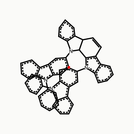 C1=CC2c3ccccc3N(c3ccc4c(c3)c3ccccc3n4-c3ccccc3)C2c2c1c1ccccc1n2-c1ccc2c(c1)c1ccccc1n2-c1ccccc1